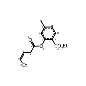 CC/C=C\CC(=O)Oc1cc(C)ccc1C(=O)OCC